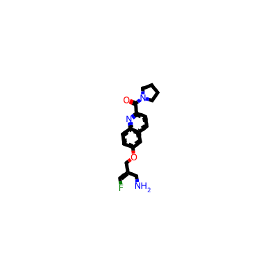 NC/C(=C\F)COc1ccc2nc(C(=O)N3CCCC3)ccc2c1